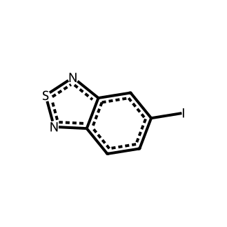 Ic1ccc2nsnc2c1